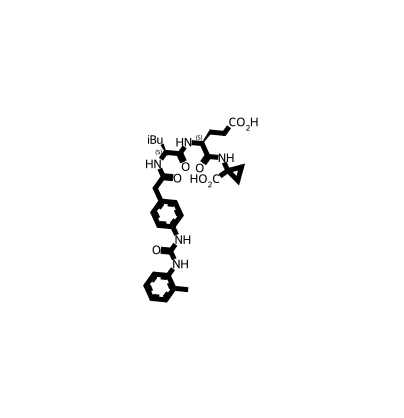 CCC(C)[C@H](NC(=O)Cc1ccc(NC(=O)Nc2ccccc2C)cc1)C(=O)N[C@@H](CCC(=O)O)C(=O)NC1(C(=O)O)CC1